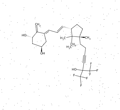 C=C1/C(=C/C=C/[C@@H]2CC[C@](C)([C@@H](C)CC#CC(O)(C(F)(F)F)C(F)(F)F)C2(C)C)C[C@@H](O)C[C@@H]1O